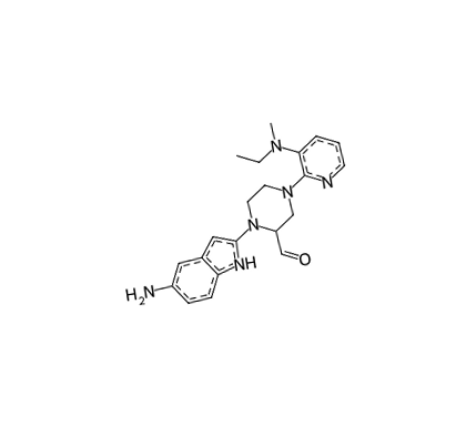 CCN(C)c1cccnc1N1CCN(c2cc3cc(N)ccc3[nH]2)C(C=O)C1